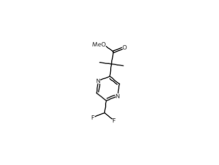 COC(=O)C(C)(C)c1cnc(C(F)F)cn1